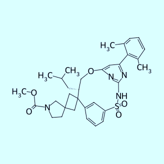 COC(=O)N1CCC2(C1)CC1(C2)c2cccc(c2)S(=O)(=O)Nc2nc(cc(-c3c(C)cccc3C)n2)OC[C@H]1CC(C)C